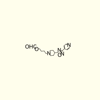 O=COCCCCN1CCC(c2nc(-c3ccncc3)no2)CC1